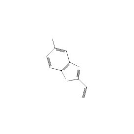 C=Cc1nc2cc(C(F)(F)F)ccc2[nH]1